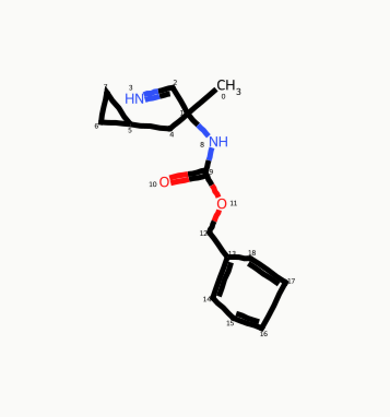 CC(C=N)(CC1CC1)NC(=O)OCc1ccccc1